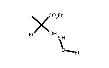 CCOC(=O)C(C)(O)CC.CCO[SiH3]